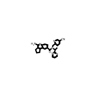 CC(c1ncccn1)N(Cc1ccc(C#N)cn1)C(=O)c1ccc2nc(N)c3c(c2c1)CCC3